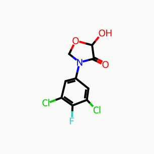 O=C1C(O)OCN1c1cc(Cl)c(F)c(Cl)c1